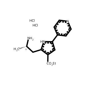 CCOC(=O)c1cc(-c2ccncc2)[nH]c1C[C@H](C)N.Cl.Cl